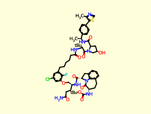 Cc1ncsc1-c1ccc([C@H](C)NC(=O)C2C[C@@H](O)CN2C(=O)[C@@H](NC(=O)CCCCCc2cc(Cl)cc(OC[C@H](CCC(N)=O)NC(=O)[C@@H]3Cc4cccc5c4N3C(=O)[C@@H](NC(=O)OC(C)(C)C)CC5)c2F)C(C)(C)C)cc1